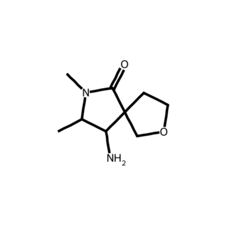 CC1C(N)C2(CCOC2)C(=O)N1C